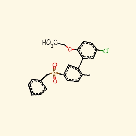 Cc1ccc(S(=O)(=O)Cc2ccccc2)cc1-c1cc(Cl)ccc1OCC(=O)O